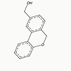 OCc1ccc2c(c1)-c1ccccc1OC2